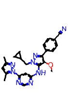 COc1c(-c2ccc(C#N)cc2)nn(CC2CC2)c1Nc1cc(-n2nc(C)cc2C)ncn1